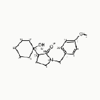 COc1ccc(CN2CCC(C3(O)CCCCC3)C2=O)cc1